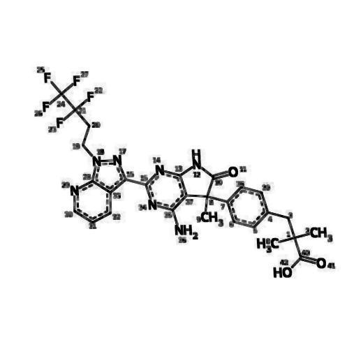 CC(C)(Cc1ccc(C2(C)C(=O)Nc3nc(-c4nn(CCC(F)(F)C(F)(F)F)c5ncccc45)nc(N)c32)cc1)C(=O)O